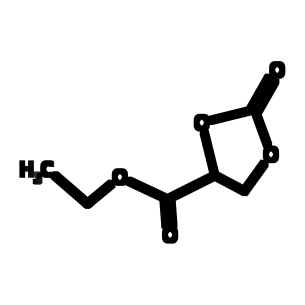 CCOC(=O)C1COC(=O)O1